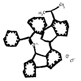 CC(C)c1cccc2c1C=CC2c1cccc2c1[CH]([Zr+2]=[C](c1ccccc1)c1ccccc1)c1ccccc1-2.[Cl-].[Cl-]